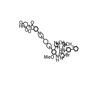 COc1cc(N2CCC3(CCC(N4CCN(c5ccc6c(c5)C(=O)N(C5CCC(=O)NC5=O)C6=O)CC4)CC3)CC2)c(-c2cnn(C)c2)cc1Nc1ncc(Br)c(Nc2ccc(-c3ccccc3)cc2P(C)(C)=O)n1